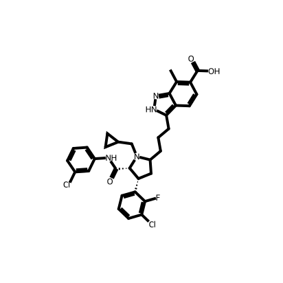 Cc1c(C(=O)O)ccc2c(CCCC3C[C@H](c4cccc(Cl)c4F)[C@H](C(=O)Nc4cccc(Cl)c4)N3CC3CC3)[nH]nc12